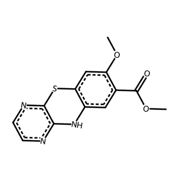 COC(=O)c1cc2c(cc1OC)Sc1nccnc1N2